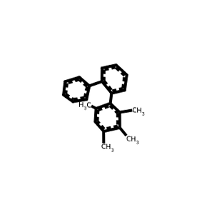 Cc1cc(C)c(-c2ccccc2-c2ccccc2)c(C)c1C